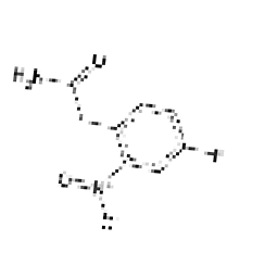 NC(=O)Cc1ccc(F)cc1[N+](=O)[O-]